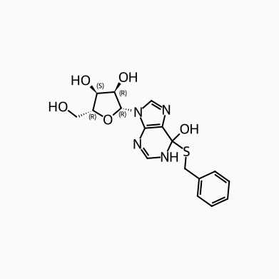 OC[C@H]1O[C@@H](n2cnc3c2N=CNC3(O)SCc2ccccc2)[C@H](O)[C@@H]1O